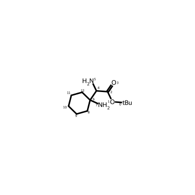 CC(C)(C)OC(=O)C(N)C1(N)CCCCC1